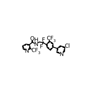 O=C(NCC(F)(F)c1ccc(-c2cncc(Cl)c2)cc1C(F)(F)F)c1cccnc1C(F)(F)F